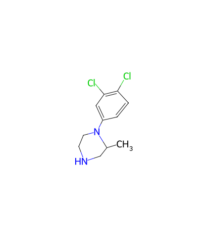 CC1CNCCN1c1ccc(Cl)c(Cl)c1